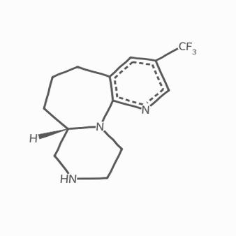 FC(F)(F)c1cnc2c(c1)CCC[C@H]1CNCCN21